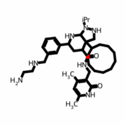 Cc1cc(C)c(CNC(=O)C2CC(c3cccc(CNCCN)c3)NC3N(C(C)C)NCC23C2CCCCCCCCC2)c(=O)[nH]1